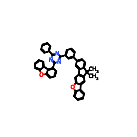 CC1(C)c2ccc(-c3cccc(-c4nc(-c5ccccc5)nc(-c5cccc6oc7ccccc7c56)n4)c3)cc2-c2cc3oc4ccccc4c3cc21